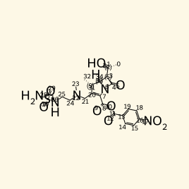 C[C@@H](O)[C@H]1C(=O)N2C(C(=O)OC(=O)c3ccc([N+](=O)[O-])cc3)=C(CN(C)CCNS(N)(=O)=O)[C@H](C)[C@H]12